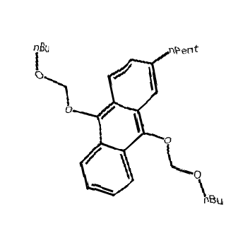 CCCCCc1ccc2c(OCOCCCC)c3ccccc3c(OCOCCCC)c2c1